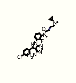 CN(C(=O)/C=C/CN(C)C1CC1)c1cccc(-n2nc(-c3ccc(Cl)cc3)c3c(N)ncnc32)c1F